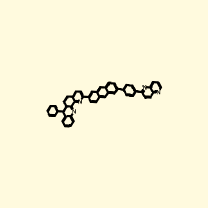 C1=CC(c2ccc3cc4cc(-c5ccc6ccc7c(-c8ccccc8)c8ccccc8nc7c6n5)ccc4cc3c2)CC=C1c1ccc2ncccc2n1